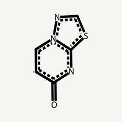 O=c1[c]cn2ncsc2n1